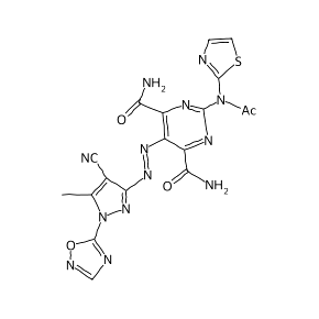 CC(=O)N(c1nc(C(N)=O)c(N=Nc2nn(-c3ncno3)c(C)c2C#N)c(C(N)=O)n1)c1nccs1